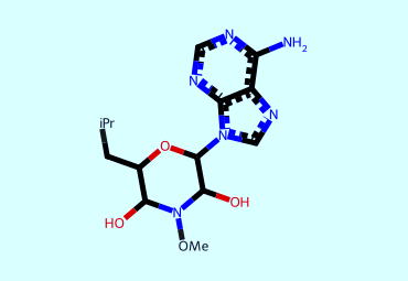 CON1C(O)C(CC(C)C)OC(n2cnc3c(N)ncnc32)C1O